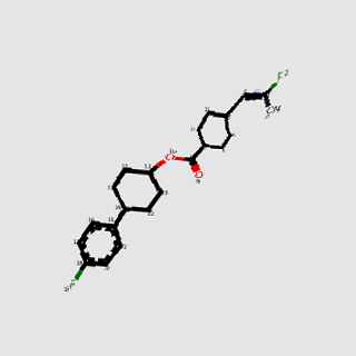 N#C/C(F)=C\C1CCC(C(=O)OC2CCC(c3ccc(F)cc3)CC2)CC1